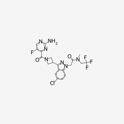 CN(CC(F)(F)F)C(=O)Cn1nc(C2CN(C(=O)c3nc(N)ncc3F)C2)c2cc(Cl)ccc21